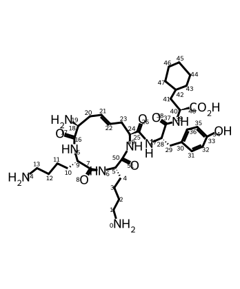 NCCCC[C@@H]1NC(=O)[C@H](CCCCN)NC(=O)[C@@H](N)C/C=C/C[C@@H](C(=O)N[C@@H](Cc2ccc(O)cc2)C(=O)N[C@@H](CC2CCCCC2)C(=O)O)NC1=O